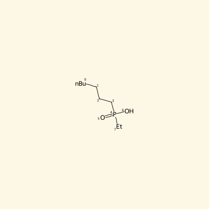 CCCCCCCP(=O)(O)CC